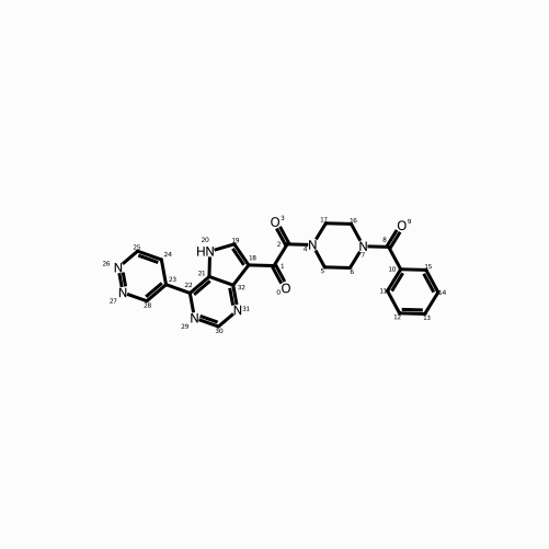 O=C(C(=O)N1CCN(C(=O)c2ccccc2)CC1)c1c[nH]c2c(-c3ccnnc3)ncnc12